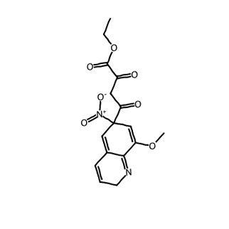 CCOC(=O)C(=O)CC(=O)C1([N+](=O)[O-])C=C2C=CCN=C2C(OC)=C1